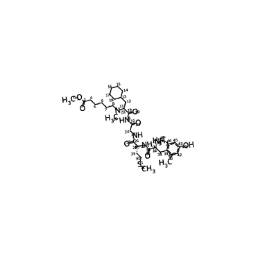 COC(=O)CCCCCN(C)[C@@H](CC1CCCCC1)C(=O)NC(=O)CNC(=O)[C@@H](CCSC)NC(=O)[C@H](N)Cc1c(C)cc(O)cc1C